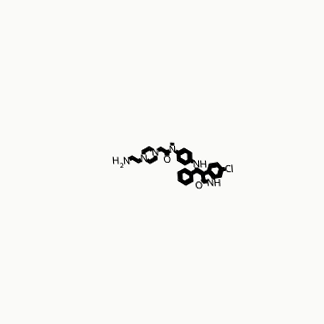 CN(C(=O)CN1CCN(CCN)CC1)c1ccc(NC(=C2C(=O)Nc3cc(Cl)ccc32)c2ccccc2)cc1